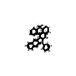 CC1(C)c2ccccc2-c2c3c1cccc3cc1c2c2cc3ccccc3cc2n1-c1ccccc1